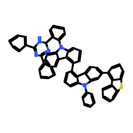 c1ccc(C2=NC(c3ccccc3-n3c4ccccc4c4c(-c5cccc6c5c5ccc(-c7cccc8sc9ccccc9c78)cc5n6-c5ccccc5)cccc43)NC(c3ccccc3)=N2)cc1